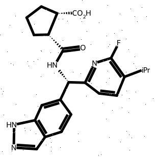 CC(C)c1ccc([C@@H](NC(=O)[C@@H]2CCC[C@@H]2C(=O)O)c2ccc3cn[nH]c3c2)nc1F